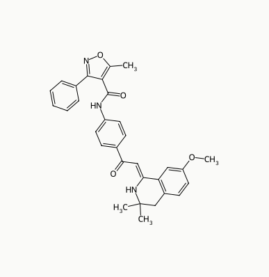 COc1ccc2c(c1)/C(=C/C(=O)c1ccc(NC(=O)c3c(-c4ccccc4)noc3C)cc1)NC(C)(C)C2